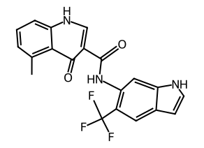 Cc1cccc2[nH]cc(C(=O)Nc3cc4[nH]ccc4cc3C(F)(F)F)c(=O)c12